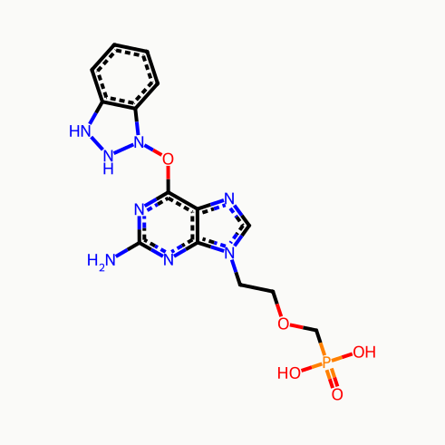 Nc1nc(ON2NNc3ccccc32)c2ncn(CCOCP(=O)(O)O)c2n1